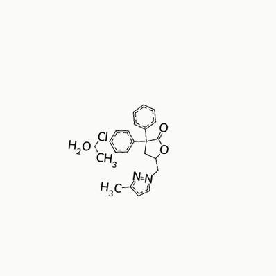 CCCl.Cc1ccn(CC2CC(c3ccccc3)(c3ccccc3)C(=O)O2)n1.O